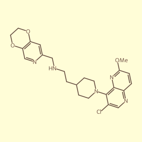 COc1ccc2ncc(Cl)c(N3CCC(CCNCc4cc5c(cn4)OCCO5)CC3)c2n1